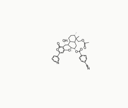 CC(=O)OCC1(C)C2C[C@H](OC(=O)c3ccc(C#N)cc3)[C@@]3(C)Oc4cc(-c5cccnc5)oc(=O)c4[C@H](O)C3[C@@]2(C)CC[C@@H]1C